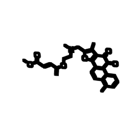 C=C(/C=C/C(=O)OC)OCCN(C)Cc1oc2c(c1C)C(=O)C(=O)c1c-2ccc2c(C)cccc12